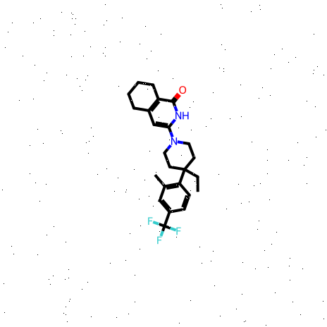 CCC1(c2ccc(C(F)(F)F)cc2C)CCN(c2cc3c(c(=O)[nH]2)CCCC3)CC1